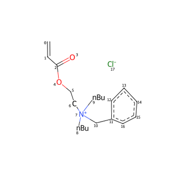 C=CC(=O)OCC[N+](CCCC)(CCCC)Cc1ccccc1.[Cl-]